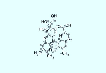 Cc1cc2ncc(C(=O)O)nc2cc1C.Cc1cc2ncc([C@@H](O)[C@H](O)[C@H](O)CO)nc2cc1C